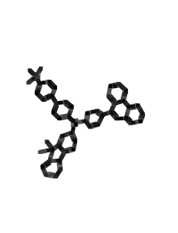 CC1(C)c2ccccc2-c2ccc(N(c3ccc(-c4ccc([Si](C)(C)C)cc4)cc3)c3ccc(-c4cc5ccccc5c5ccccc45)cc3)cc21